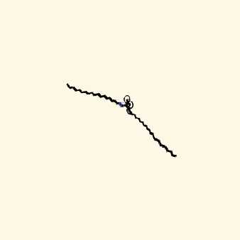 CCCCCCCCCCCCCCCCCC/C=C/C1C(=O)OC1=C=CCCCCCCCCCCCCCCCCCCC